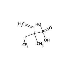 C=CC(C)(CC(F)(F)F)P(=O)(O)O